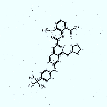 COc1cccc(C(=O)O)c1NC(=O)c1cc2ccc(Oc3ccc(C(C)(C)C)cc3)cc2c(CC2CCCC2)n1